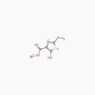 CCc1nc(C(=O)OBr)c(Cl)s1